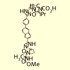 COC(=O)N[C@@H](C)C(=O)N1CCC[C@H]1c1ncc(-c2ccc3cc(-c4ccc(-c5c[nH]c([C@@H]6CCCN6C(=O)[C@H](C(C)C)N(C)C(=O)O)n5)cc4)ccc3c2)[nH]1